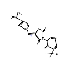 Cc1c(N2C(=O)/C(=C/c3ccc(C(=O)O)cc3)SC2=S)cccc1C(F)(F)F